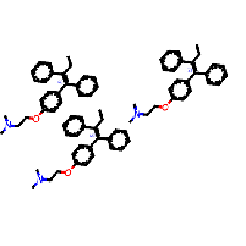 CC/C(=C(\c1ccccc1)c1ccc(OCCN(C)C)cc1)c1ccccc1.CC/C(=C(\c1ccccc1)c1ccc(OCCN(C)C)cc1)c1ccccc1.CC/C(=C(\c1ccccc1)c1ccc(OCCN(C)C)cc1)c1ccccc1